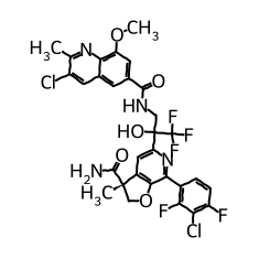 COc1cc(C(=O)NCC(O)(c2cc3c(c(-c4ccc(F)c(Cl)c4F)n2)OC[C@]3(C)C(N)=O)C(F)(F)F)cc2cc(Cl)c(C)nc12